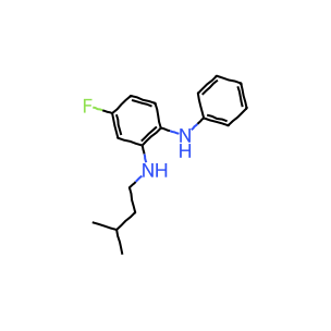 CC(C)CCNc1cc(F)ccc1Nc1ccccc1